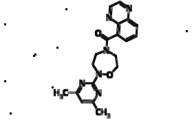 Cc1cc(C)nc(N2CCN(C(=O)c3cccc4nccnc34)CCO2)n1